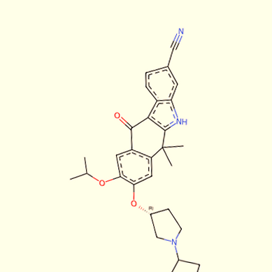 CC(C)Oc1cc2c(cc1O[C@@H]1CCN(C3CCC3)C1)C(C)(C)c1[nH]c3cc(C#N)ccc3c1C2=O